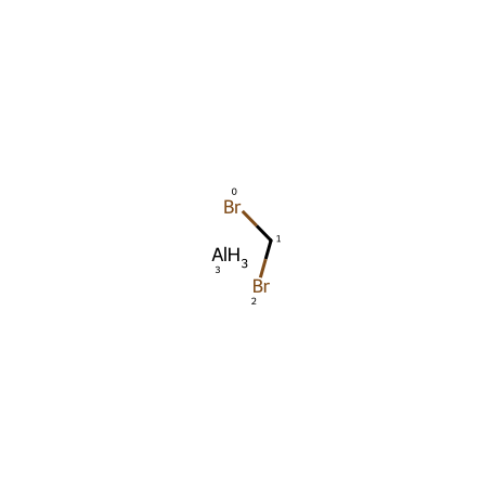 BrCBr.[AlH3]